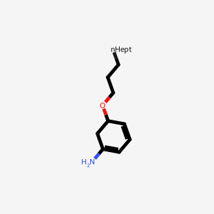 CCCCCCCCCCOC1C=CC=C(N)C1